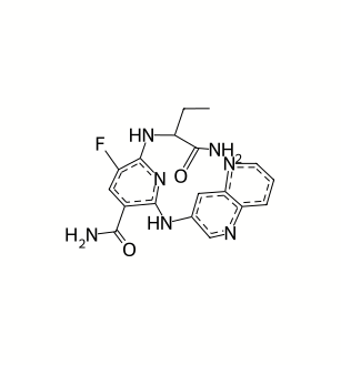 CCC(Nc1nc(Nc2cnc3cccnc3c2)c(C(N)=O)cc1F)C(N)=O